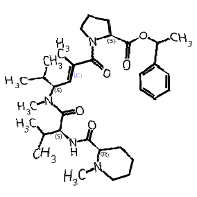 C/C(=C\[C@H](C(C)C)N(C)C(=O)[C@@H](NC(=O)[C@H]1CCCCN1C)C(C)C)C(=O)N1CCC[C@H]1C(=O)OC(C)c1ccccc1